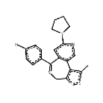 Cc1noc2c1-c1cnc(N3CCCC3)cc1C(c1ccc(Cl)cc1)=NC2